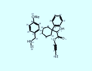 CCC#COC(=O)C(O)C1(c2ccccc2)CCCCC1.CCNCc1ccc(OC)cc1